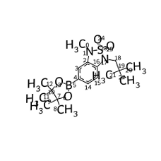 CN1c2cc(B3OC(C)(C)C(C)(C)O3)ccc2N(CC(C)(C)C)S1(=O)=O